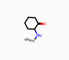 CCCCCNC1CCCCC1=O